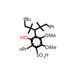 CCCc1c(O)c(C(C(C)(C)CC(C)C)C(C)(C)CC(C)(C)C)c(OC)c(OC)c1S(=O)(=O)O